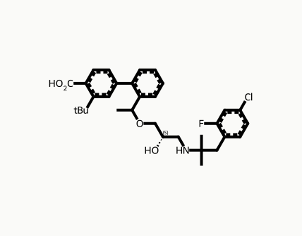 CC(OC[C@@H](O)CNC(C)(C)Cc1ccc(Cl)cc1F)c1ccccc1-c1ccc(C(=O)O)c(C(C)(C)C)c1